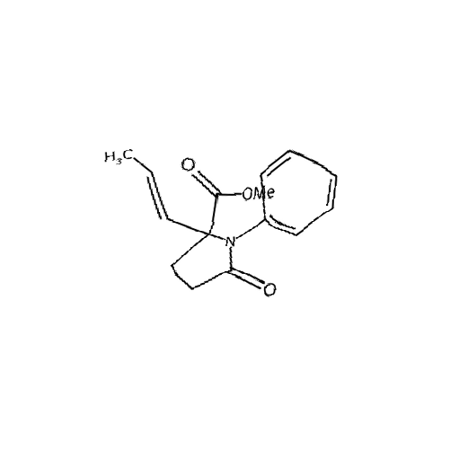 CC=CC1(C(=O)OC)CCC(=O)N1c1ccccc1